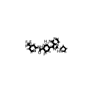 Nc1nccn2c([C@@H]3CCCN3)nc(-c3ccc(C(=O)Nc4cc(C(F)(F)F)ccn4)c(F)c3)c12